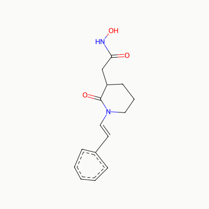 O=C(CC1CCCN(C=Cc2ccccc2)C1=O)NO